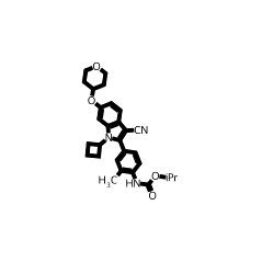 Cc1cc(-c2c(C#N)c3ccc(OC4CCOCC4)cc3n2C2CCC2)ccc1NC(=O)OC(C)C